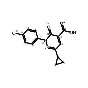 O=C(O)c1cc(C2CC2)nn(-c2ccc(Cl)cc2)c1=O